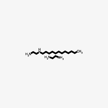 CCCCCCCCCCCCNCCN.NCCN